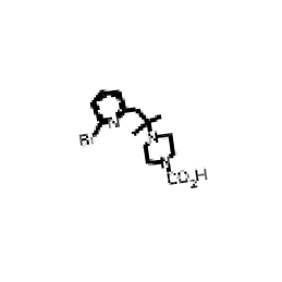 CC(C)(Cc1cccc(Br)n1)N1CCN(C(=O)O)CC1